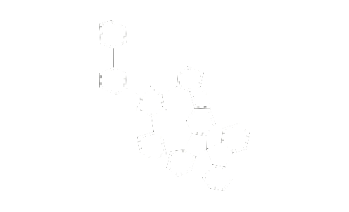 c1ccc(-c2cccc(-c3nc(-c4ccccc4)nc(-c4cccc5oc6cc7c(cc6c45)-c4ccccc4C74c5ccccc5-c5ccccc54)n3)c2)cc1